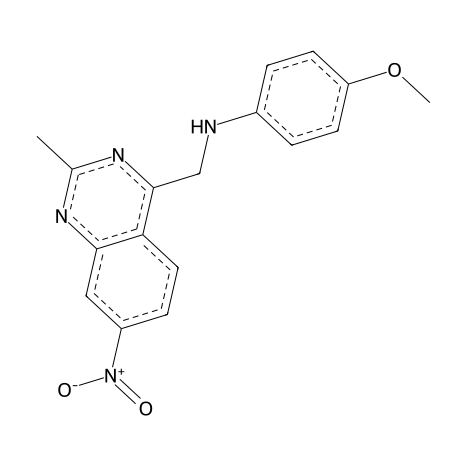 COc1ccc(NCc2nc(C)nc3cc([N+](=O)[O-])ccc23)cc1